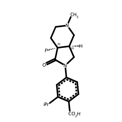 CC(C)c1cc(N2C[C@@H]3CN(C)CC[C@]3(F)C2=O)ccc1C(=O)O